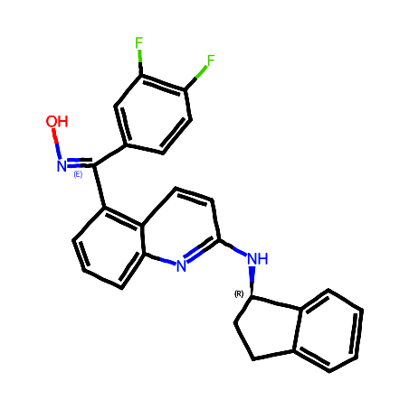 O/N=C(\c1ccc(F)c(F)c1)c1cccc2nc(N[C@@H]3CCc4ccccc43)ccc12